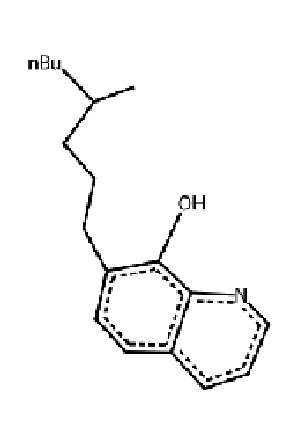 CCCCC(C)CCCc1ccc2cccnc2c1O